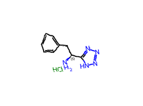 Cl.N[C@@H](Cc1ccccc1)c1nnn[nH]1